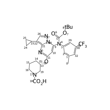 Cc1cc(N(C(=O)OC(C)(C)C)c2cc(O[C@H]3CCCN(C(=O)O)C3)nc3c(C4CC4)cnn23)cc(C(F)(F)F)c1